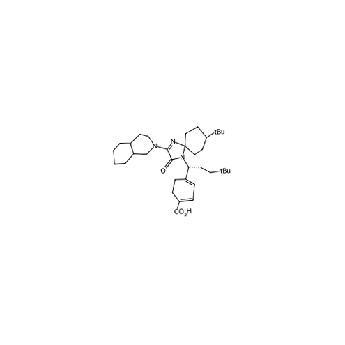 CC(C)(C)CC[C@H](C1=CC=C(C(=O)O)CC1)N1C(=O)C(N2CCC3CCCCC3C2)=NC12CCC(C(C)(C)C)CC2